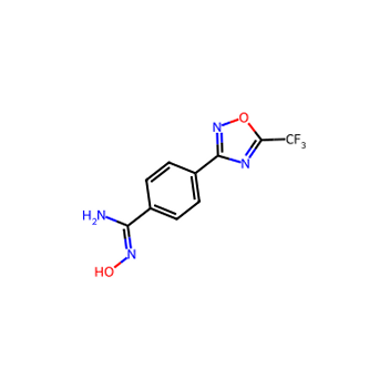 N/C(=N\O)c1ccc(-c2noc(C(F)(F)F)n2)cc1